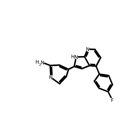 Nc1cc(-c2cc3c(-c4ccc(F)cc4)ccnc3[nH]2)ccn1